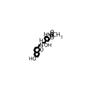 CS(=O)(=O)Nc1ccc(C(O)CNCC2CCc3cc(O)ccc3C2=O)cc1